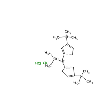 C[SiH](C)[Hf]([C]1=CC([Si](C)(C)C)=CC1)[C]1=CC([Si](C)(C)C)=CC1.Cl.Cl